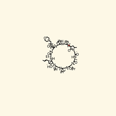 C/C=C/C[C@@H](C)[C@@H](O)[C@@H]1C(=O)N[C@H](CC)C(=O)N(C)[C@H](CS(=O)(=O)C(C)(C)CN2CCOCC2)C(=O)N(C)[C@@H](CC(C)C)C(=O)N[C@H](C(C)C)C(=O)N(C)[C@@H]2CC(C)N(C2=O)[C@H](C)C(=O)N[C@@H](C)C(=O)N(C)[C@H](CC(C)C)C(=O)N(C)[C@H](CC(C)C)C(=O)N(C)[C@H](C(C)C)C(=O)N1C